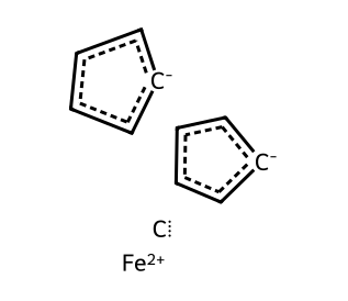 [C].[Fe+2].c1cc[cH-]c1.c1cc[cH-]c1